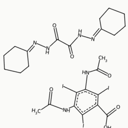 CC(=O)Nc1c(I)c(NC(C)=O)c(I)c(C(=O)O)c1I.O=C(NN=C1CCCCC1)C(=O)NN=C1CCCCC1